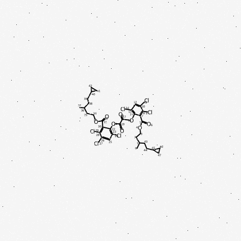 CC(CCOC(=O)c1c(Cl)c(Cl)cc(Cl)c1OC(=O)C(=O)Oc1c(Cl)cc(Cl)c(Cl)c1C(=O)OCCC(C)CCC1CC1)CCC1CC1